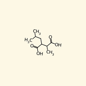 CC(C)CC(C(=O)O)C(C)C(=O)O